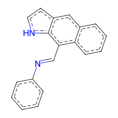 C(=N\c1ccccc1)/c1c2ccccc2cc2cc[nH]c12